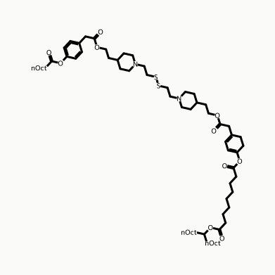 CCCCCCCCC(=O)OC1=C=C=C(CC(=O)OCCC2CCN(CCSSCCN3CCC(CCOC(=O)CC4=CC=C(OC(=O)CCCCCCCC(=O)OC(CCCCCCCC)CCCCCCCC)CC4)CC3)CC2)C=C1